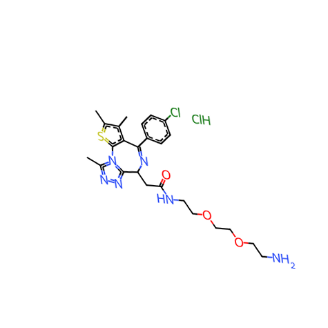 Cc1sc2c(c1C)C(c1ccc(Cl)cc1)=NC(CC(=O)NCCOCCOCCN)c1nnc(C)n1-2.Cl